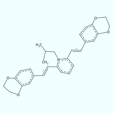 CC(C)C[n+]1c(/C=C/c2ccc3c(c2)OCCO3)cccc1/C=C/c1ccc2c(c1)OCCO2